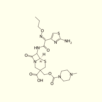 CCCON=C(C(=O)NC1C(=O)N2CC(COC(=O)N3CCN(C)CC3)(C(=O)O)CS[C@H]12)c1csc(N)n1